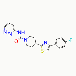 O=C(Nc1cccnn1)N1CCC(c2nc(-c3ccc(F)cc3)cs2)CC1